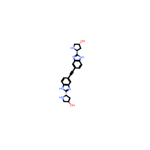 O[C@H]1CN[C@H](c2nc3cc(C#Cc4ccc5[nH]c([C@@H]6C[C@@H](O)CN6)nc5c4)ccc3[nH]2)C1